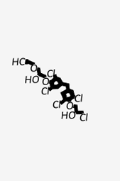 C#CCOCC(O)COc1c(Cl)cc(Cc2cc(Cl)c(OCC(O)CCl)c(Cl)c2)cc1Cl